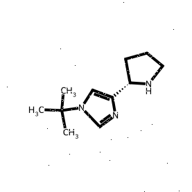 CC(C)(C)n1cnc([C@@H]2CCCN2)c1